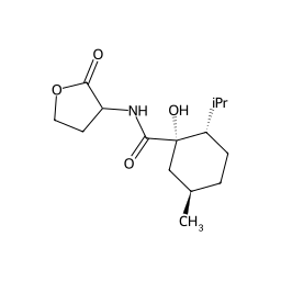 CC(C)[C@@H]1CC[C@@H](C)C[C@@]1(O)C(=O)NC1CCOC1=O